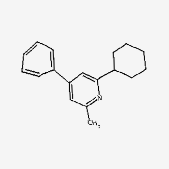 Cc1cc(-c2ccccc2)cc(C2CCCCC2)n1